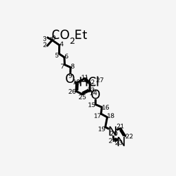 CCOC(=O)C(C)(C)CCCCCOc1ccc(OCCCCCn2ccnc2)cc1.Cl